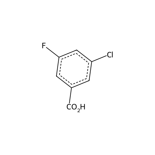 O=C(O)c1cc(F)cc(Cl)c1